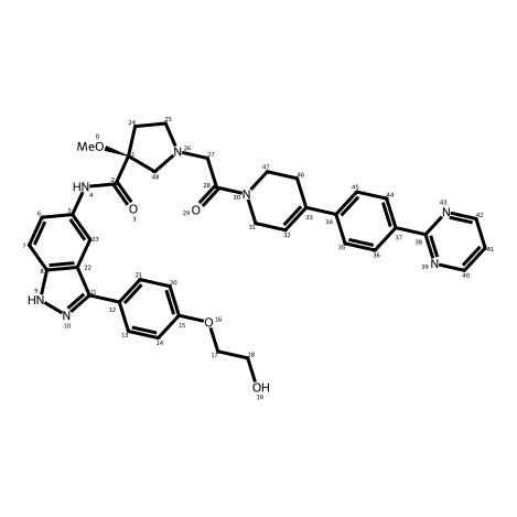 CO[C@@]1(C(=O)Nc2ccc3[nH]nc(-c4ccc(OCCO)cc4)c3c2)CCN(CC(=O)N2CC=C(c3ccc(-c4ncccn4)cc3)CC2)C1